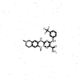 COc1cc2c(cc1Nc1nnc(C(N)=O)c(Nc3cccc(C(F)(F)F)c3)n1)CN(C)CC2